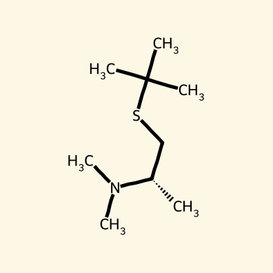 C[C@@H](CSC(C)(C)C)N(C)C